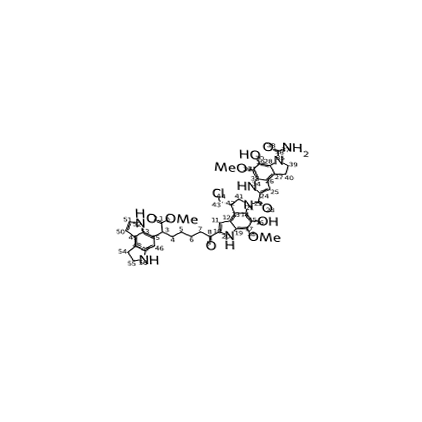 COC(=O)C(CCCCC(=O)c1cc2c3c(c(O)c(OC)c2[nH]1)N(C(=O)c1cc2c4c(c(O)c(OC)c2[nH]1)N(C(N)=O)CC4)C[C@H]3CCl)c1cc2c(c3cc[nH]c13)CCN2